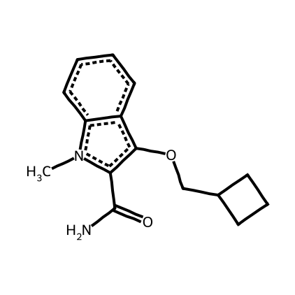 Cn1c(C(N)=O)c(OCC2CCC2)c2ccccc21